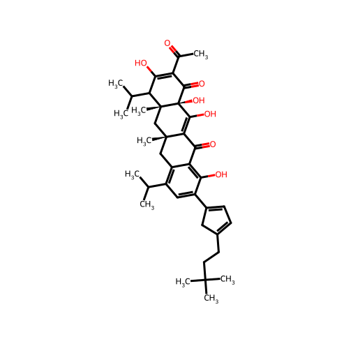 CC(=O)C1=C(O)C(C(C)C)[C@@]2(C)C[C@@]3(C)Cc4c(C(C)C)cc(C5=CC=C(CCC(C)(C)C)C5)c(O)c4C(=O)C3=C(O)[C@@]2(O)C1=O